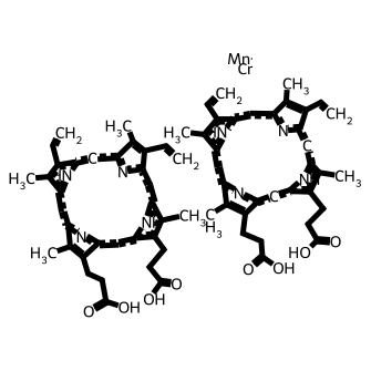 C=CC1=C(C)c2cc3[nH]c(cc4nc(cc5[nH]c(cc1n2)c(C)c5CCC(=O)O)C(CCC(=O)O)=C4C)c(C)c3C=C.C=CC1=C(C)c2cc3[nH]c(cc4nc(cc5[nH]c(cc1n2)c(C)c5CCC(=O)O)C(CCC(=O)O)=C4C)c(C)c3C=C.[Cr].[Mn]